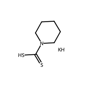 S=C(S)N1CCCCC1.[KH]